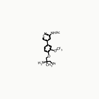 CC(=O)Nc1cc(-c2ccc(OCC(C)(N)CC(C)C)c(OC(F)(F)F)c2)ccn1